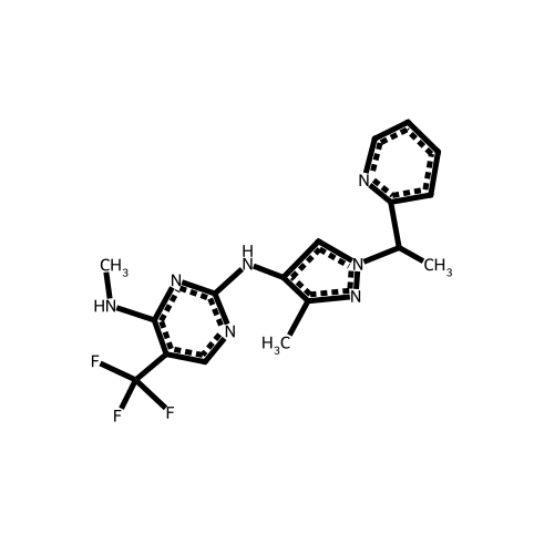 CNc1nc(Nc2cn(C(C)c3ccccn3)nc2C)ncc1C(F)(F)F